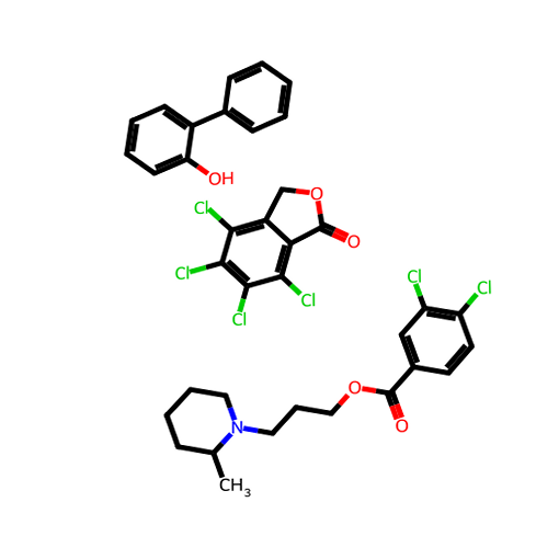 CC1CCCCN1CCCOC(=O)c1ccc(Cl)c(Cl)c1.O=C1OCc2c(Cl)c(Cl)c(Cl)c(Cl)c21.Oc1ccccc1-c1ccccc1